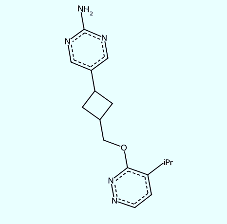 CC(C)c1ccnnc1OCC1CC(c2cnc(N)nc2)C1